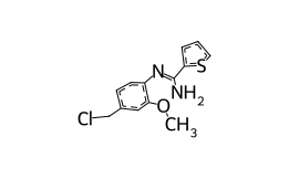 COc1cc(CCl)ccc1N=C(N)c1cccs1